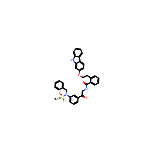 CS(=O)(=O)N(Cc1ccccc1)c1cccc(C(=O)CNC(=O)c2ccccc2CCOc2ccc3c(c2)[nH]c2ccccc23)c1